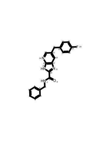 O=C(NCc1ccccc1)c1nc2cc(Cc3ccc(F)cc3)cnc2[nH]1